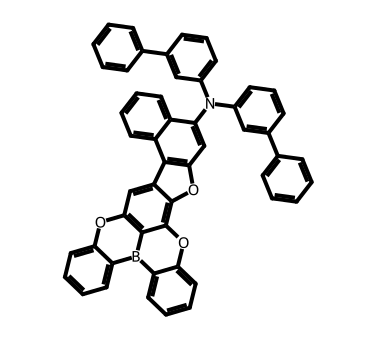 c1ccc(-c2cccc(N(c3cccc(-c4ccccc4)c3)c3cc4oc5c6c7c(cc5c4c4ccccc34)Oc3ccccc3B7c3ccccc3O6)c2)cc1